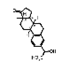 C[C@]12CC[C@@H]3c4ccc(C(O)C(=O)O)cc4CC[C@H]3[C@@H]1CCC2=O